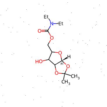 CCN(CC)C(=O)OCC1O[C@@H]2OC(C)(C)OC2C1O